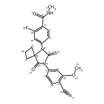 CNC(=O)c1ccc(N2C(=S)N(c3ccc(C#N)c(OC)c3)C(=O)C23CCC3)cc1F